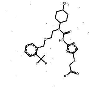 CC1CCC(N(CCOCc2ccccc2C(F)(F)F)C(=O)Nc2ncc(SCC(=O)O)s2)CC1